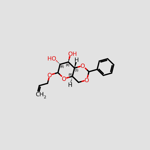 C=CCOC1O[C@@H]2COC(c3ccccc3)O[C@H]2[C@H](O)[C@H]1O